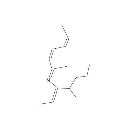 C\C=C/C=C\C(C)=N\C(=C/C)C(C)CCC